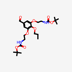 CCCOc1c(OCCNC(=O)OC(C)(C)C)cc(C=O)cc1OCCNC(=O)OC(C)(C)C